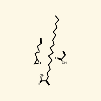 C=C(CCCCCCCCCCCCCCCC)C(=O)O.C=CC(=O)O.C=CCOCC1CO1